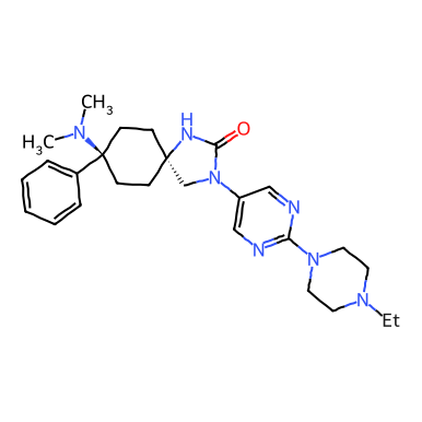 CCN1CCN(c2ncc(N3C[C@]4(CC[C@](c5ccccc5)(N(C)C)CC4)NC3=O)cn2)CC1